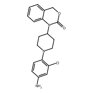 Nc1ccc(N2CCC(N3C(=O)OCc4ccccc43)CC2)c(Cl)c1